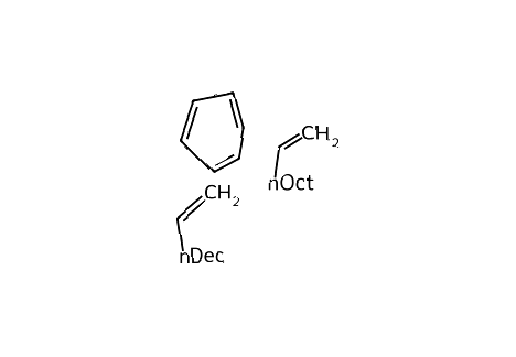 C=CCCCCCCCC.C=CCCCCCCCCCC.c1ccccc1